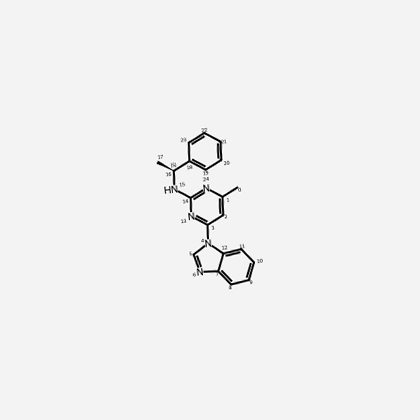 Cc1cc(-n2cnc3ccccc32)nc(N[C@@H](C)c2ccccc2)n1